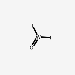 [O]=[W]([I])[I]